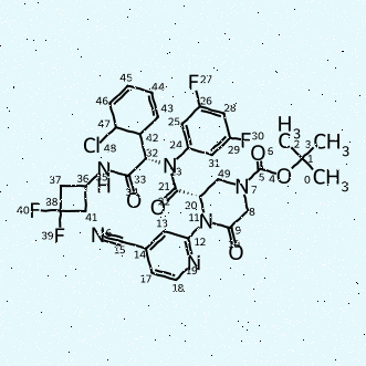 CC(C)(C)OC(=O)N1CC(=O)N(c2cc(C#N)ccn2)[C@H](C(=O)N(c2cc(F)cc(F)c2)[C@H](C(=O)NC2CC(F)(F)C2)C2C=CC=CC2Cl)C1